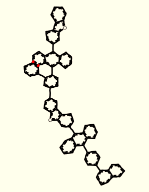 c1ccc(-c2cc(-c3ccc4oc5cc(-c6c7ccccc7c(-c7ccc(-c8cccc9ccccc89)cc7)c7ccccc67)ccc5c4c3)ccc2-c2c3ccccc3c(-c3ccc4c(c3)oc3ccccc34)c3ccccc23)cc1